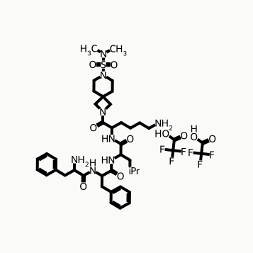 CC(C)CC(NC(=O)C(Cc1ccccc1)NC(=O)C(N)Cc1ccccc1)C(=O)NC(CCCCN)C(=O)N1CC2(CCN(S(=O)(=O)N(C)C)CC2)C1.O=C(O)C(F)(F)F.O=C(O)C(F)(F)F